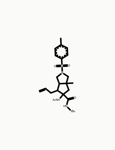 C=CCC1C2CN(S(=O)(=O)c3ccc(C)cc3)CC2(C)CC1(NC(C)=O)C(=O)NC(C)(C)C